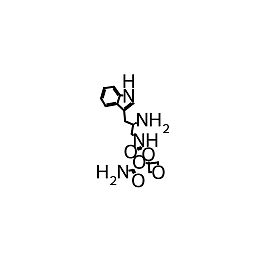 NC(=O)OC1(OC(=O)NC[C@H](N)Cc2c[nH]c3ccccc23)COC1